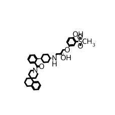 CS(=O)(=O)c1cc(OC[C@@H](O)CN[C@H]2CC[C@H](c3ccccc3C(=O)N3CCC4(CCCc5ccccc54)CC3)CC2)ccc1O